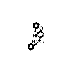 O=C1SC[C@H](C(=O)NCc2ccccc2)N[C@H]1Cc1ccccc1